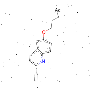 C#Cc1ccc2cc(OCCCC(C)=O)ccc2n1